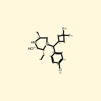 CC[C@@H]1CN[C@@H](C)CN1C(c1ccc(Cl)cc1)C1CC(F)(F)C1.Cl